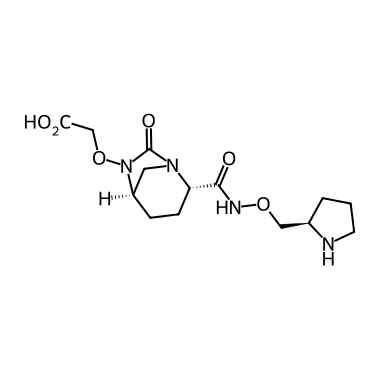 O=C(O)CON1C(=O)N2C[C@H]1CC[C@H]2C(=O)NOC[C@H]1CCCN1